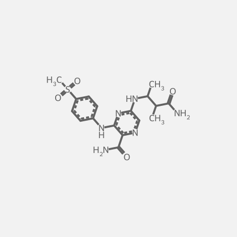 CC(Nc1cnc(C(N)=O)c(Nc2ccc(S(C)(=O)=O)cc2)n1)C(C)C(N)=O